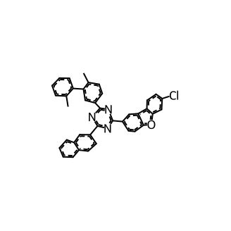 Cc1ccccc1-c1cc(-c2nc(-c3ccc4ccccc4c3)nc(-c3ccc4oc5cc(Cl)ccc5c4c3)n2)ccc1C